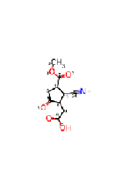 COC(=O)C1CC(=O)C(CC(=O)O)C1C#N